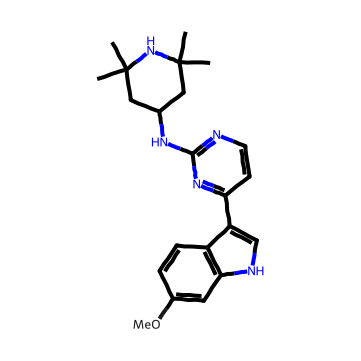 COc1ccc2c(-c3ccnc(NC4CC(C)(C)NC(C)(C)C4)n3)c[nH]c2c1